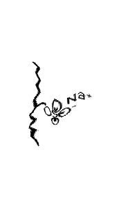 CCCCCCCC(CCCCCC)COS(=O)(=O)[O-].[Na+]